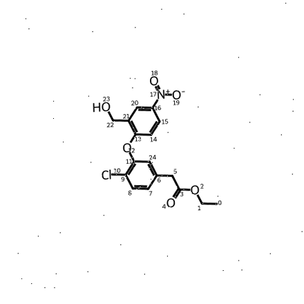 CCOC(=O)Cc1ccc(Cl)c(Oc2ccc([N+](=O)[O-])cc2CO)c1